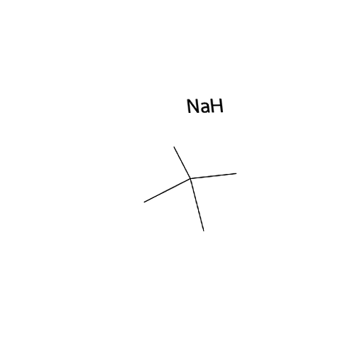 CC(C)(C)C.[NaH]